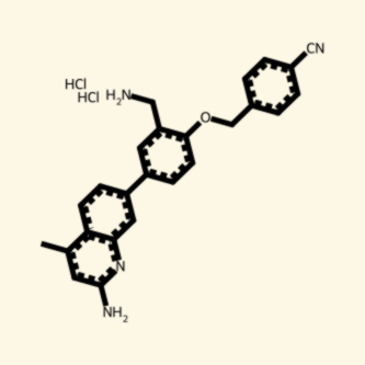 Cc1cc(N)nc2cc(-c3ccc(OCc4ccc(C#N)cc4)c(CN)c3)ccc12.Cl.Cl